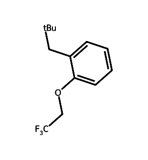 CC(C)(C)Cc1ccccc1OCC(F)(F)F